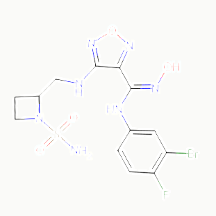 NS(=O)(=O)N1CCC1CNc1nonc1C(=NO)Nc1ccc(F)c(Br)c1